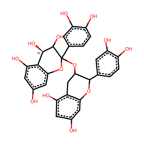 Oc1cc(O)c2c(c1)OC(c1ccc(O)c(O)c1)C(OC1(c3ccc(O)c(O)c3)Oc3cc(O)cc(O)c3[C@@H](O)C1O)C2